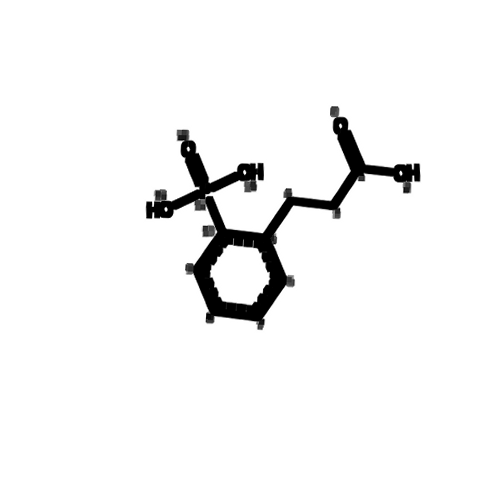 O=C(O)CCc1ccccc1P(=O)(O)O